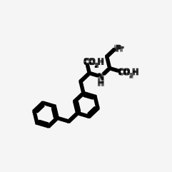 CC(C)CC(NC(Cc1cccc(Cc2ccccc2)c1)C(=O)O)C(=O)O